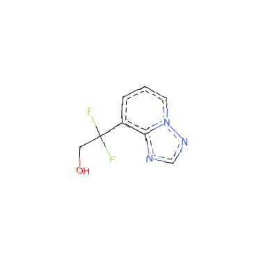 OCC(F)(F)c1cccn2ncnc12